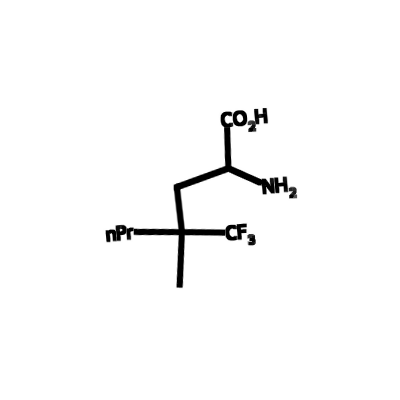 CCCC(C)(CC(N)C(=O)O)C(F)(F)F